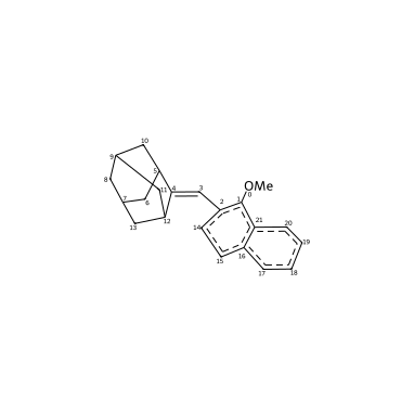 COc1c(C=C2C3CC4CC(C3)CC2C4)ccc2ccccc12